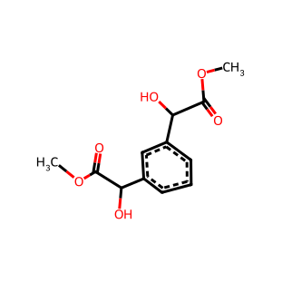 COC(=O)C(O)c1cccc(C(O)C(=O)OC)c1